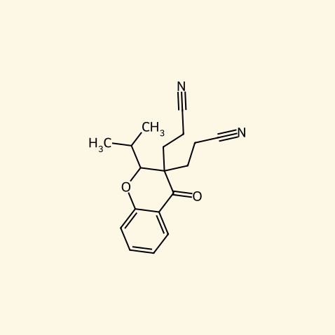 CC(C)C1Oc2ccccc2C(=O)C1(CCC#N)CCC#N